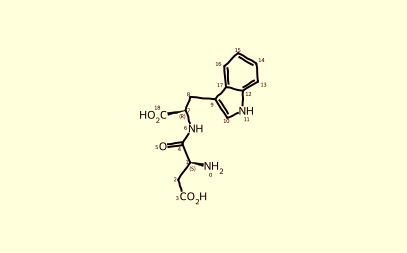 N[C@@H](CC(=O)O)C(=O)N[C@H](Cc1c[nH]c2ccccc12)C(=O)O